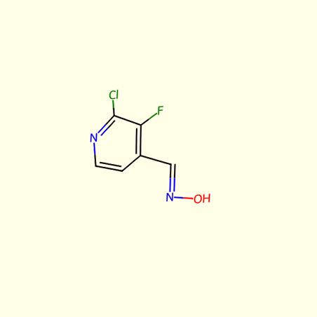 ON=Cc1ccnc(Cl)c1F